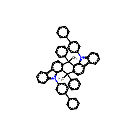 CC1(c2ccccc2)c2ccc3c4ccccc4n(-c4ccc(-c5ccccc5)cc4)c3c2C(C)(c2ccccc2)c2ccc3c4ccccc4n(-c4ccc(-c5ccccc5)cc4)c3c21